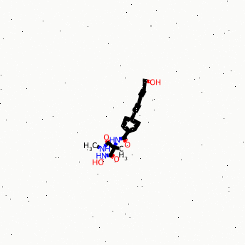 CNC(=O)C(C)(NC(=O)c1ccc(C#CC#CCO)cc1)C(=O)NO